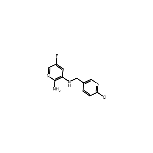 Nc1ncc(F)cc1NCc1ccc(Cl)nc1